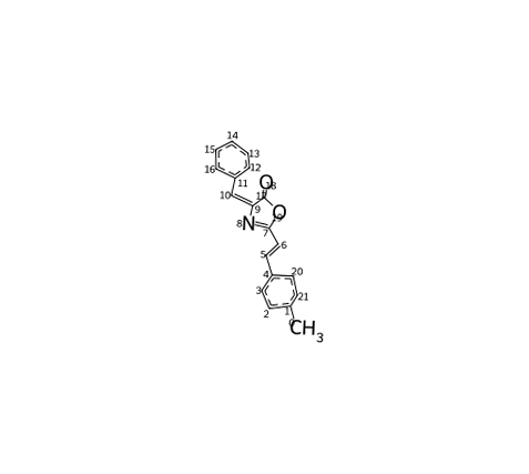 Cc1ccc(C=CC2=NC(=Cc3ccccc3)C(=O)O2)cc1